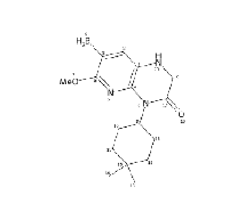 Bc1cc2c(nc1OC)N(C1CCC(C)(C)CC1)C(=O)CN2